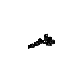 CC(CCSc1nc2ccccc2c(=O)n1-c1cccc(Cl)c1)CC(=O)N1CCN(c2ccc(F)cc2)CC1